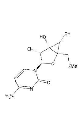 CSCC12O[C@@H](n3ccc(N)nc3=O)[C@H](Cl)[C@@]1(O)C2O